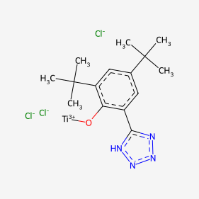 CC(C)(C)c1cc(-c2nnn[nH]2)c([O][Ti+3])c(C(C)(C)C)c1.[Cl-].[Cl-].[Cl-]